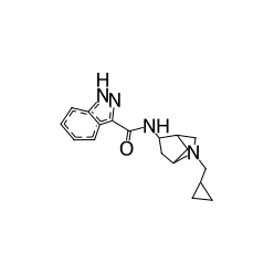 O=C(NC1CC2CC1CN2CC1CC1)c1n[nH]c2ccccc12